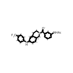 CC(=O)Nc1cccc(C(=O)N2CCc3cc(Nc4ccc(C(F)(F)F)cc4)ccc3C2)c1